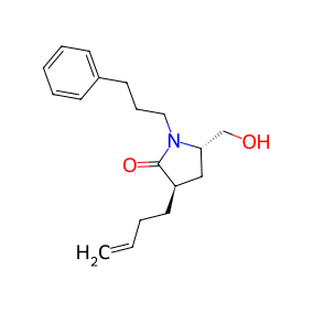 C=CCC[C@@H]1C[C@@H](CO)N(CCCc2ccccc2)C1=O